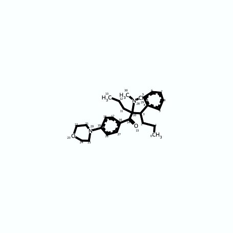 CCCC(c1ccccc1)C(CCC)(C(=O)c1ccc(N2CCOCC2)cc1)N(C)C